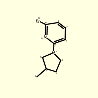 CC1CCN(c2cccc(Br)n2)C1